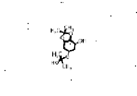 CC(C)(O)OC1CC2OC(C)(C)OC2[C@@H](O)C1